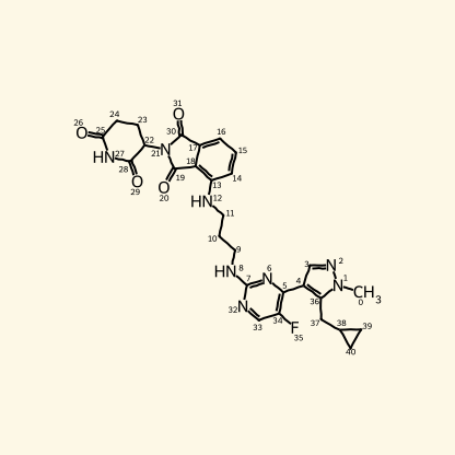 Cn1ncc(-c2nc(NCCCNc3cccc4c3C(=O)N(C3CCC(=O)NC3=O)C4=O)ncc2F)c1CC1CC1